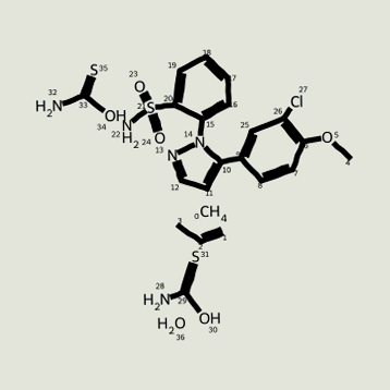 C.C=CC.COc1ccc(-c2ccnn2-c2ccccc2S(N)(=O)=O)cc1Cl.NC(O)=S.NC(O)=S.O